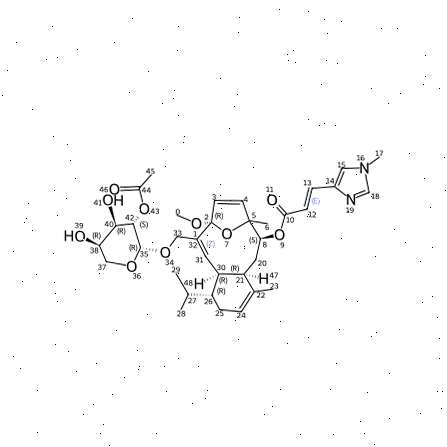 CO[C@]12C=CC(C)(O1)[C@@H](OC(=O)/C=C/c1cn(C)cn1)C[C@H]1C(C)=CC[C@H](C(C)C)[C@H]1/C=C\2CO[C@@H]1OC[C@@H](O)[C@@H](O)[C@@H]1OC(C)=O